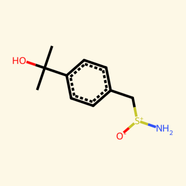 CC(C)(O)c1ccc(C[S+](N)[O-])cc1